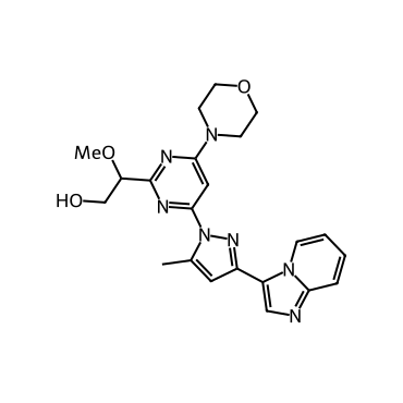 COC(CO)c1nc(N2CCOCC2)cc(-n2nc(-c3cnc4ccccn34)cc2C)n1